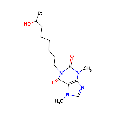 CCC(O)CCCCCCn1c(=O)c2c(ncn2C)n(C)c1=O